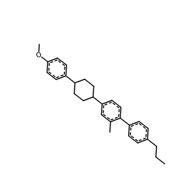 CCCc1ccc(-c2ccc(C3CCC(c4ccc(OC)cc4)CC3)cc2C)cc1